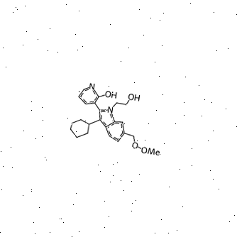 COOCc1ccc2c(C3CCCCC3)c(-c3cccnc3O)n(CCO)c2c1